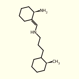 C[C@H]1CCCCC1CCCN/C=C1\CCCC[C@H]1N